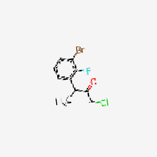 CC(C(=O)[CH]Cl)c1cccc(Br)c1F